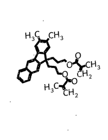 C=C(C)C(=O)OCCCC1(CCCOC(=O)C(=C)C)c2cc(C)c(C)cc2-c2cc3ccccc3cc21